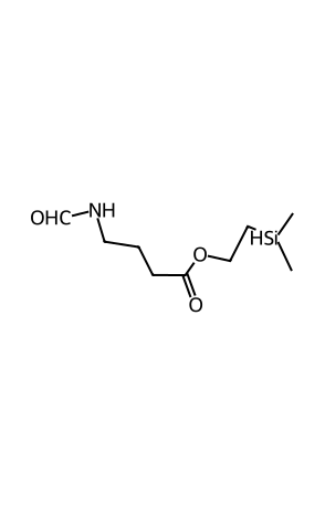 C[SiH](C)CCOC(=O)CCCNC=O